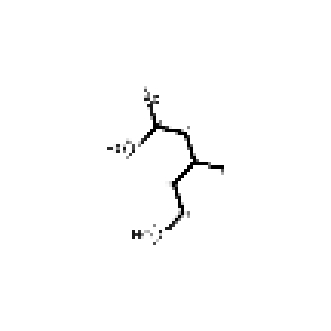 CC(=O)C(CC(C)CCC(=O)O)C(=O)O